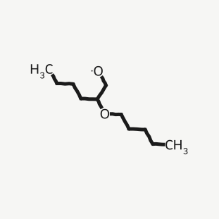 CCCCCOC(C[O])CCCC